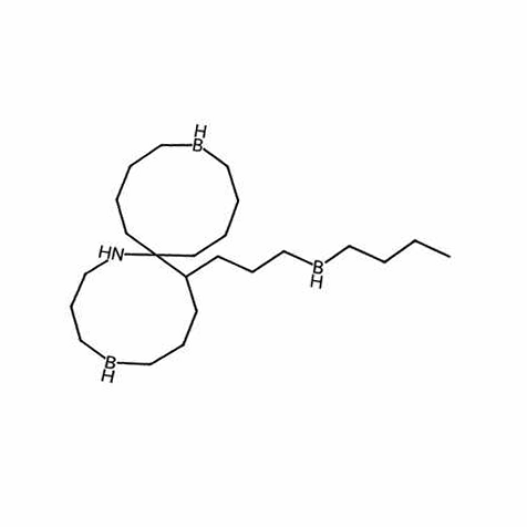 CCCCBCCCC1CCCBCCCNC12CCCCBCCCC2